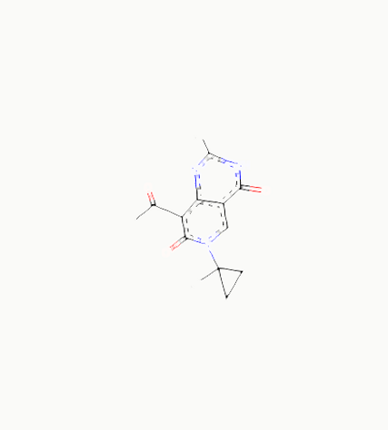 CC(=O)c1c(=O)n(C2(C)CC2)cc2c(=O)[nH]c(C)nc12